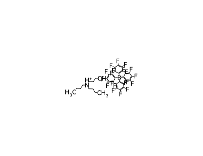 CCCC[NH+](CCCC)CCCC.Fc1c(F)c(F)c([B-](c2c(F)c(F)c(F)c(F)c2F)(c2c(F)c(F)c(F)c(F)c2F)c2c(F)c(F)c(F)c(F)c2F)c(F)c1F